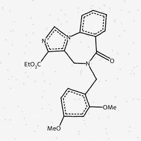 CCOC(=O)c1ncn2c1CN(Cc1ccc(OC)cc1OC)C(=O)c1ccccc1-2